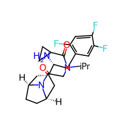 CC(C)N(CC(=O)N1[C@@H]2CC[C@H]1C[C@H]([C@H](N)Cc1cc(F)c(F)cc1F)C2)C(=O)C1CC1